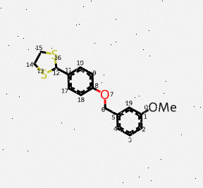 COc1cccc(COc2ccc(C3SCCS3)cc2)c1